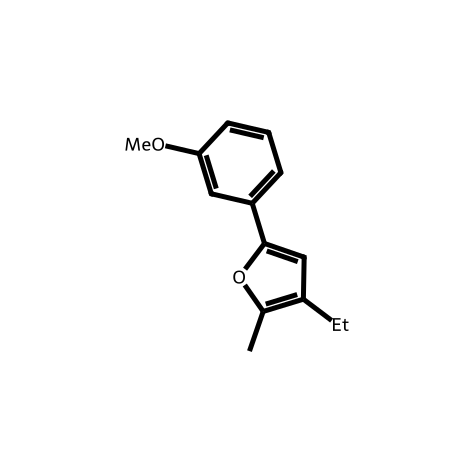 CCc1cc(-c2cccc(OC)c2)oc1C